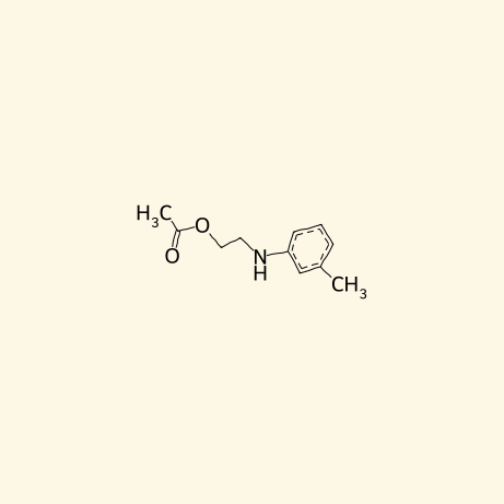 CC(=O)OCCNc1cccc(C)c1